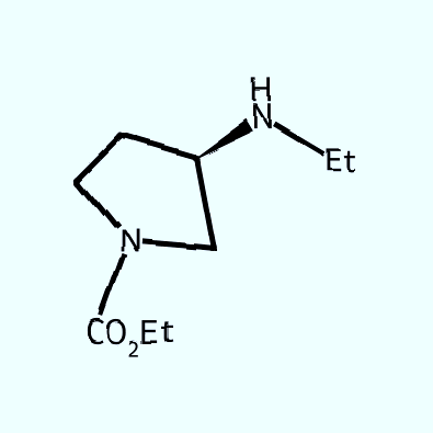 CCN[C@@H]1CCN(C(=O)OCC)C1